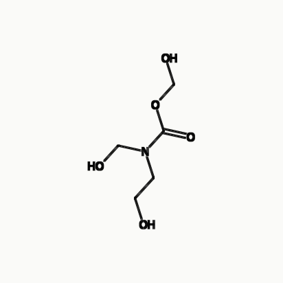 O=C(OCO)N(CO)CCO